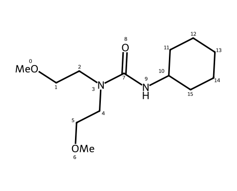 COCCN(CCOC)C(=O)NC1CCCCC1